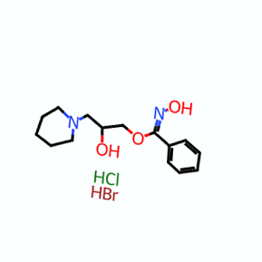 Br.Cl.ON=C(OCC(O)CN1CCCCC1)c1ccccc1